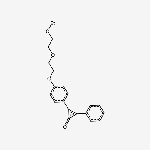 CCOCCOCCOc1ccc(-c2c(-c3ccccc3)c2=O)cc1